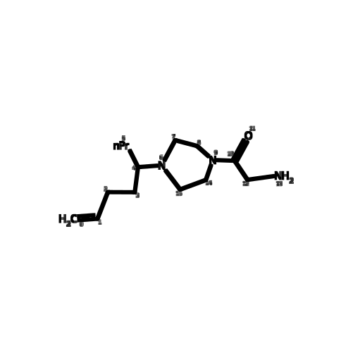 C=CCCC(CCC)N1CCN(C(=O)CN)CC1